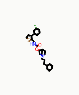 O=C(NCc1sccc1-c1cccc(F)c1)OC1C[N+]2(CCCc3ccccc3)CCC1CC2